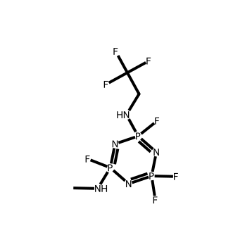 CNP1(F)=NP(F)(NCC(F)(F)F)=NP(F)(F)=N1